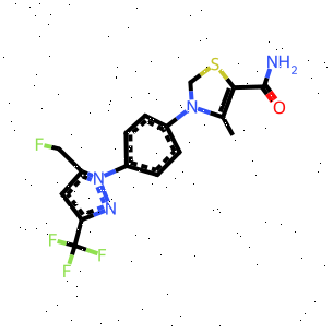 CC1=C(C(N)=O)SCN1c1ccc(-n2nc(C(F)(F)F)cc2CF)cc1